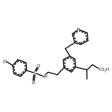 CC(CC(=O)O)c1cc(CCNS(=O)(=O)c2ccc(Cl)cc2)cc(Cc2cccnc2)c1